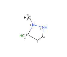 CN1CCCN1.Cl